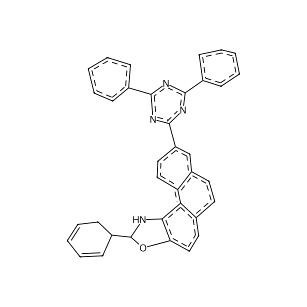 C1=CCC(C2Nc3c(ccc4ccc5cc(-c6nc(-c7ccccc7)nc(-c7ccccc7)n6)ccc5c34)O2)C=C1